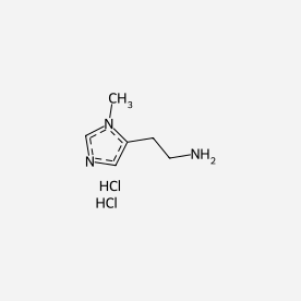 Cl.Cl.Cn1cncc1CCN